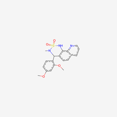 COc1ccc(C2c3ccc4cccnc4c3NS(=O)(=O)N2C)c(OC)c1